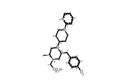 C[C@H]1CN(C2CCN(c3ccccn3)CC2)[C@@H](Cc2ccc(Cl)cc2)CN1CC(=O)O